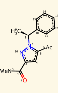 CNC(=O)c1cc(C(C)=O)n([C@@H](C)c2ccccc2)n1